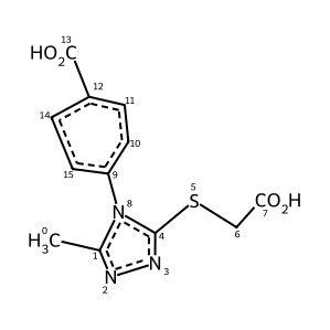 Cc1nnc(SCC(=O)O)n1-c1ccc(C(=O)O)cc1